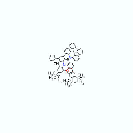 Cc1ccccc1-c1cc2c3c(c1)N(c1ccc(C(C)(C)C)cc1-c1ccccc1)c1c(ccc4c1oc1cc5c(cc14)C(C)(C)CCC5(C)C)B3N1c3ccccc3C3(c4ccccc4-c4ccccc43)c3cccc-2c31